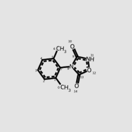 Cc1cccc(C)c1-n1c(=O)[nH]oc1=O